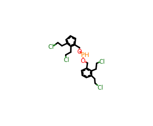 ClCCc1cccc(COPOCc2cccc(CCCl)c2CCCl)c1CCCl